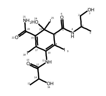 CC(CO)NC(=O)C1C(I)=C(NC(=O)C(C)O)C(I)=C(C(N)=O)C1(O)I